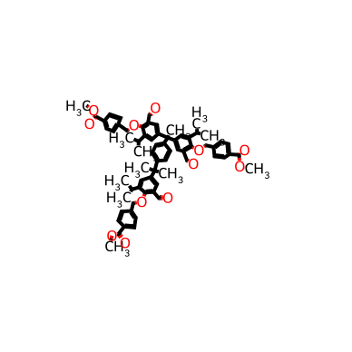 COC(=O)c1ccc(COc2c(C=O)cc(C(C)(C)c3ccc(C(C)(c4cc(C=O)c(OCc5ccc(C(=O)OC)cc5)c(C(C)C)c4)c4cc(C=O)c(OCc5ccc(C(=O)OC)cc5)c(C(C)C)c4)cc3)cc2C(C)C)cc1